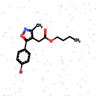 CCCCOC(=O)Cc1c(C)noc1-c1ccc(Br)cc1